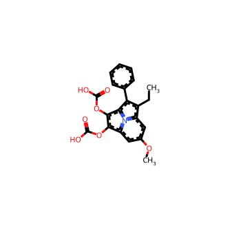 CCc1c(-c2ccccc2)c2c(OC(=O)O)c(OC(=O)O)c3cc(OC)cc1n32